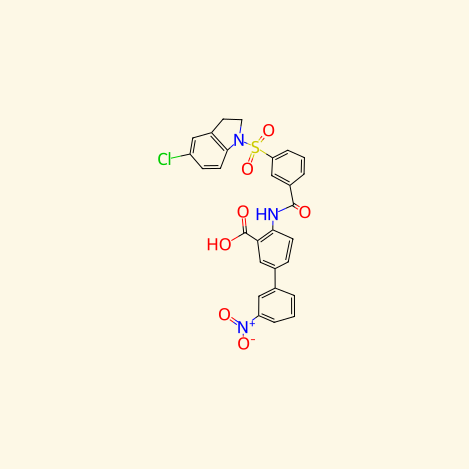 O=C(Nc1ccc(-c2cccc([N+](=O)[O-])c2)cc1C(=O)O)c1cccc(S(=O)(=O)N2CCc3cc(Cl)ccc32)c1